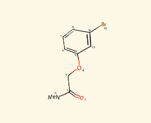 CNC(=O)COc1cccc(Br)c1